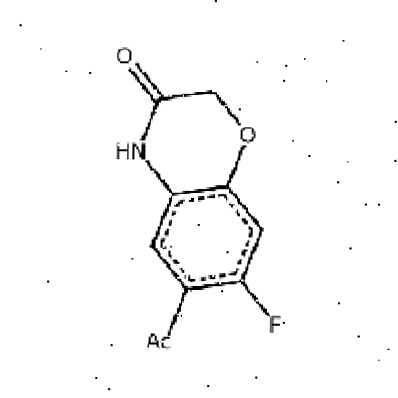 CC(=O)c1cc2c(cc1F)OCC(=O)N2